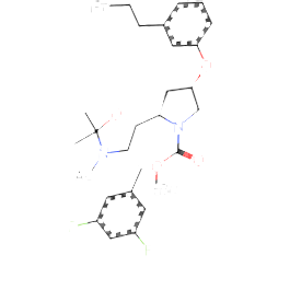 CC(=O)N1[C@@H](Cc2cc(F)cc(F)c2)[C@@H]([C@H]2C[C@@H](Oc3cccc(CCC(C)C)c3)CN2C(=O)OC(C)(C)C)OC1(C)C